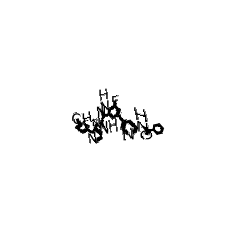 Cc1ccc(-c2nccc3[nH]c(-c4n[nH]c5c(F)cc(-c6cncc(NC(=O)c7ccccc7)c6)cc45)nc23)s1